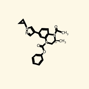 CC(=O)N1c2ccc(-c3cnn(C4CC4)c3)cc2N(C(=O)Oc2ccccc2)C[C@@H]1C